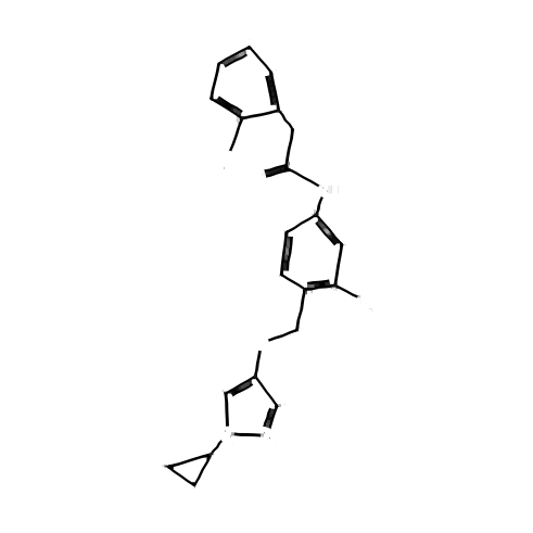 O=C(Cc1ccccc1Cl)Nc1ccc(COc2cnn(C3CC3)c2)c(Br)c1